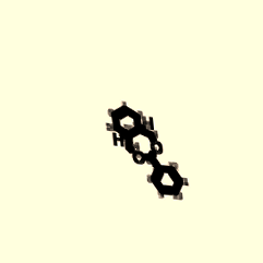 C1=CC[C@@H]2COC(c3ccccc3)OC[C@H]2C1